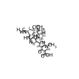 CNc1cc(Cl)cc2c1[nH]c1ncc(-c3cnc4c(c3)c(=O)c(C(=O)O)cn4C)c(N3CC[C@@H]4CN(C)C[C@@H]43)c12